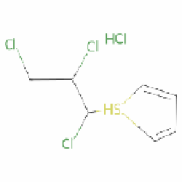 Cl.ClCC(Cl)C(Cl)[SH]1C=CC=C1